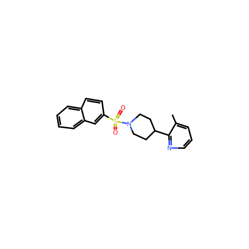 Cc1cccnc1C1CCN(S(=O)(=O)c2ccc3ccccc3c2)CC1